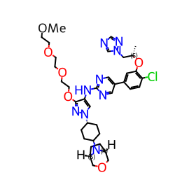 COCCOCCOCCOc1nn([C@H]2CC[C@H](N3[C@@H]4CC[C@H]3COC4)CC2)cc1Nc1ncc(-c2ccc(Cl)c(O[C@@H](C)Cn3cncn3)c2)cn1